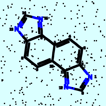 C1=Nc2ccc3c4c(ccc3c2=N1)N=CN=4